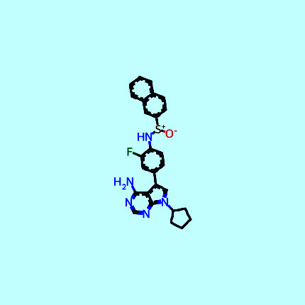 Nc1ncnc2c1c(-c1ccc(N[S+]([O-])c3ccc4ccccc4c3)c(F)c1)cn2C1CCCC1